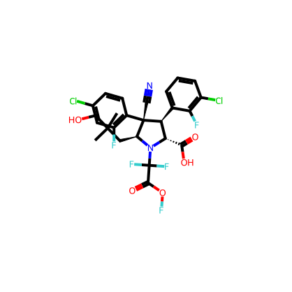 CC(C)(CO)C[C@@H]1N(C(F)(F)C(=O)OF)[C@@H](C(=O)O)[C@H](c2cccc(Cl)c2F)[C@@]1(C#N)c1ccc(Cl)cc1F